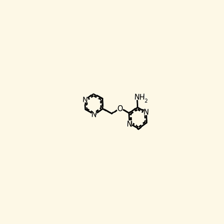 Nc1nccnc1OCc1ccncn1